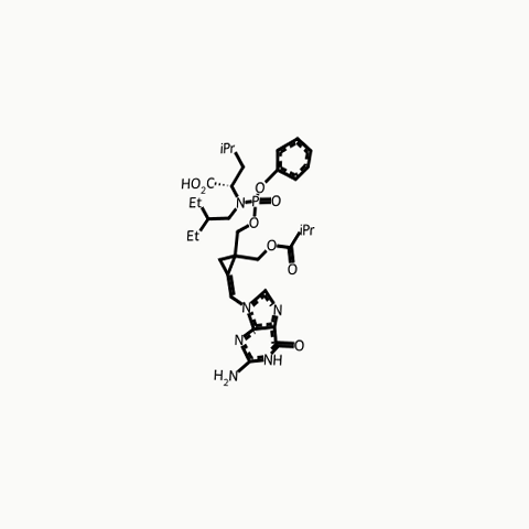 CCC(CC)CN([C@@H](CC(C)C)C(=O)O)P(=O)(OCC1(COC(=O)C(C)C)C/C1=C/n1cnc2c(=O)[nH]c(N)nc21)Oc1ccccc1